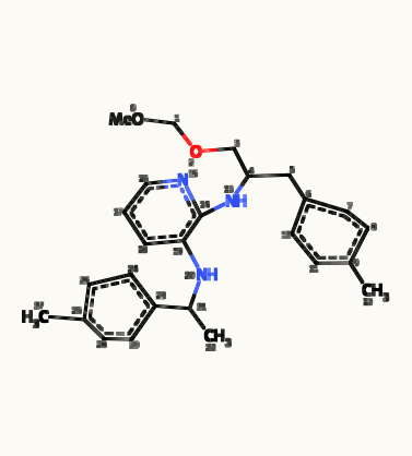 COCOCC(Cc1ccc(C)cc1)Nc1ncccc1NC(C)c1ccc(C)cc1